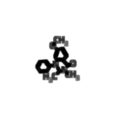 COc1ccc2c(c1)N(c1ccccc1)C(C)N(C)C2=O